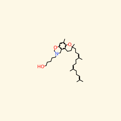 CC(C)=CCCC(C)=CCCC(C)=CCCC1(C)CCc2c3c(cc(C)c2O1)OCN(CCCCCO)C3